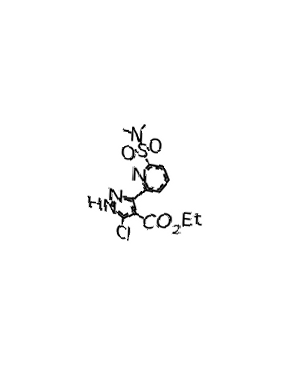 CCOC(=O)c1c(-c2cccc(S(=O)(=O)N(C)C)n2)n[nH]c1Cl